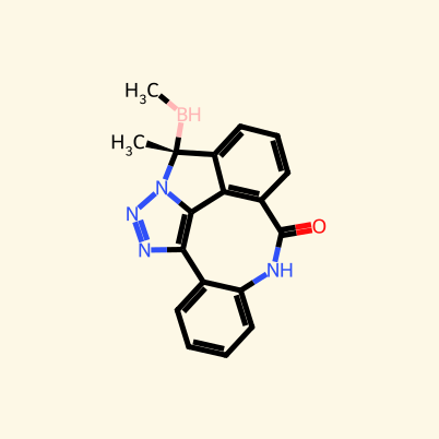 CB[C@]1(C)c2cccc3c2-c2c(nnn21)-c1ccccc1NC3=O